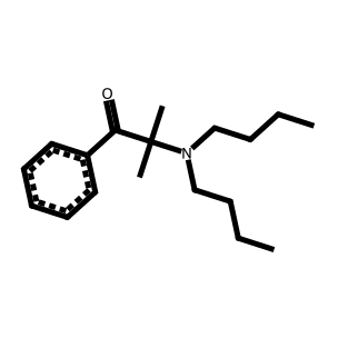 CCCCN(CCCC)C(C)(C)C(=O)c1ccccc1